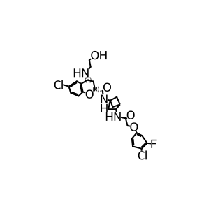 O=C(COc1ccc(Cl)c(F)c1)NC1CC2(NC(=O)[C@H]3C[C@@H](NCCO)c4cc(Cl)ccc4O3)CC1C2